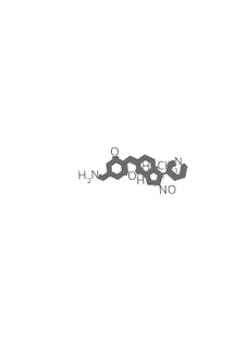 C[C@]12CCC3=CC4=C(CC(CN)CC4=O)O[C@H]3[C@@H]1C[C@@H](N=O)[C@@H]2c1cccnc1